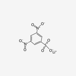 O=[N+]([O-])c1cc([N+](=O)[O-])cc(S(=O)(=O)[O-])c1.[Li+]